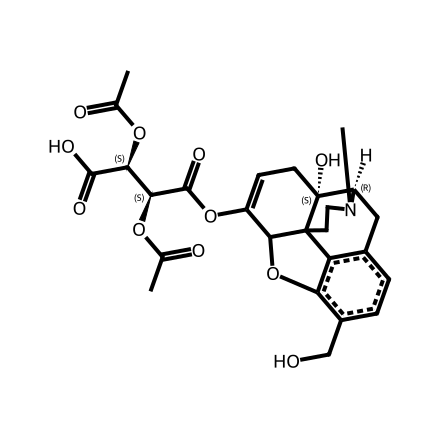 CC(=O)O[C@H](C(=O)O)[C@H](OC(C)=O)C(=O)OC1=CC[C@@]2(O)[C@H]3Cc4ccc(CO)c5c4C2(CCN3C)C1O5